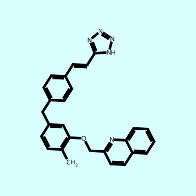 Cc1ccc(Cc2ccc(C=Cc3nnn[nH]3)cc2)cc1OCc1ccc2ccccc2n1